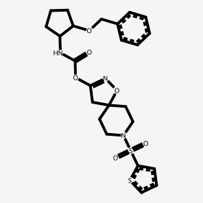 O=C(NC1CCCC1OCc1ccccc1)OC1=NOC2(CCN(S(=O)(=O)c3cccs3)CC2)C1